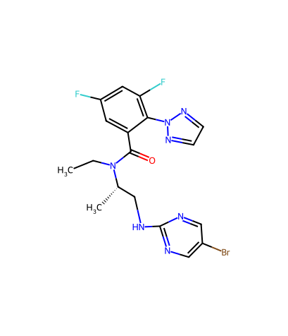 CCN(C(=O)c1cc(F)cc(F)c1-n1nccn1)[C@@H](C)CNc1ncc(Br)cn1